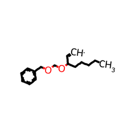 [CH]=CC(CCCCC)OCOCc1ccccc1